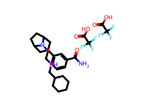 NC(=O)c1cccc(C2CC3CCC(C2)N3CCNCC2CCCCC2)c1.O=C(O)C(F)(F)F.O=C(O)C(F)(F)F